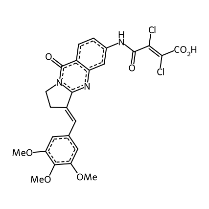 COc1cc(C=C2CCn3c2nc2cc(NC(=O)C(Cl)=C(Cl)C(=O)O)ccc2c3=O)cc(OC)c1OC